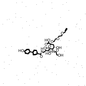 C#CCOCCOCCO[C@]1(C(=O)O)C[C@H](O)[C@@H](NC(=O)CO)[C@H]([C@H](O)[C@H](O)CNC(=O)c2ccc(-c3ccc(O)cc3)cc2)O1